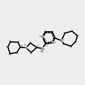 c1cc(N2CCCCCC2)nc(NC2CN(C3CCCCC3)C2)n1